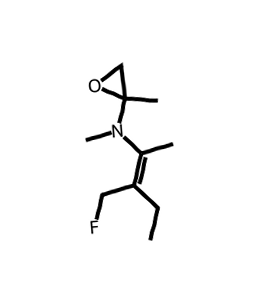 CC/C(CF)=C(\C)N(C)C1(C)CO1